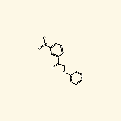 O=C(COc1ccccc1)c1cccc([N+](=O)[O-])c1